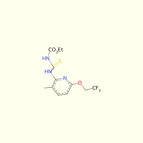 CCOC(=O)NC(=S)Nc1nc(OCC(F)(F)F)ccc1C